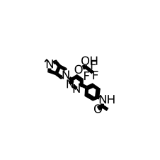 CC(=O)Nc1ccc(-c2ccc(N3CC4CN(C)CC4C3)nn2)cc1.O=C(O)C(F)(F)F